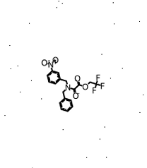 O=C(OCC(F)(F)F)C(=O)N(Cc1ccccc1)Cc1cccc([N+](=O)[O-])c1